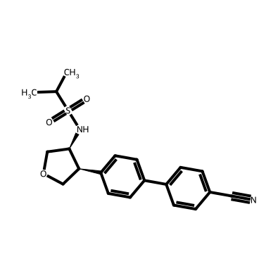 CC(C)S(=O)(=O)N[C@@H]1COC[C@@H]1c1ccc(-c2ccc(C#N)cc2)cc1